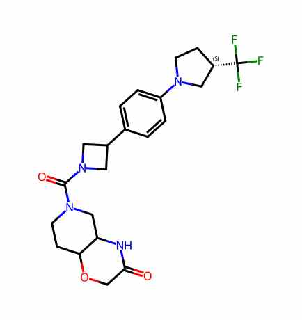 O=C1COC2CCN(C(=O)N3CC(c4ccc(N5CC[C@H](C(F)(F)F)C5)cc4)C3)CC2N1